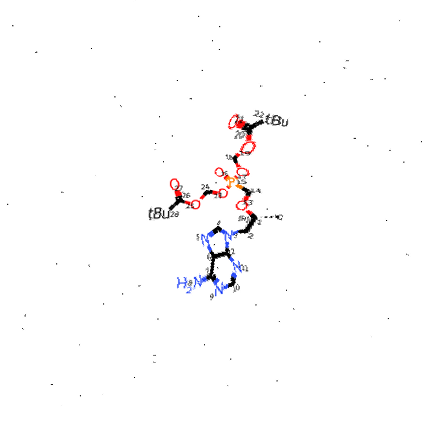 C[C@H](CN1C=NC2C(N)=NC=NC21)OCP(=O)(OCOC(=O)C(C)(C)C)OCOC(=O)C(C)(C)C